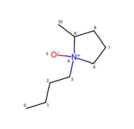 CCCC[N+]1([O-])CCCC1C